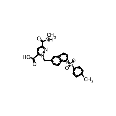 CNC(=O)c1cc(C(=O)O)n(Cc2ccc3c(ccn3S(=O)(=O)c3ccc(C)cc3)c2)n1